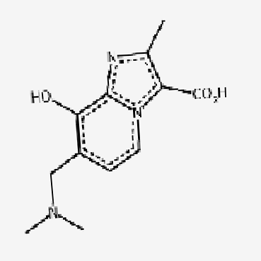 Cc1nc2c(O)c(CN(C)C)ccn2c1C(=O)O